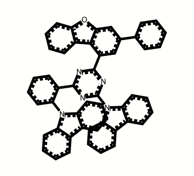 c1ccc(-c2cc(-c3nc(-c4ccccc4-n4c5ccccc5c5ccccc54)nc(-n4c5ccccc5c5ccccc54)n3)c3c(c2)oc2ccccc23)cc1